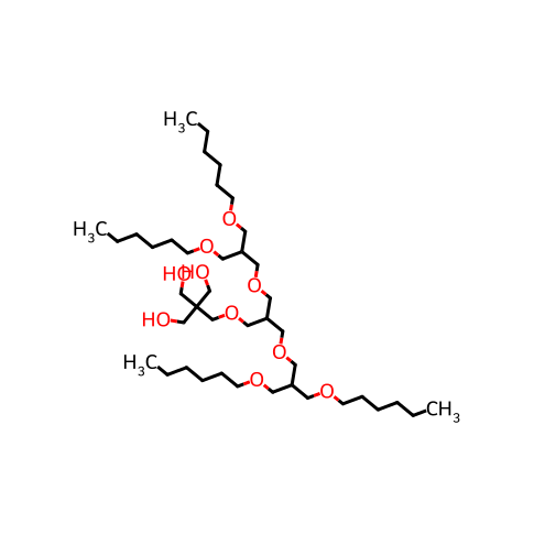 CCCCCCOCC(COCCCCCC)COCC(COCC(COCCCCCC)COCCCCCC)COCC(CO)(CO)CO